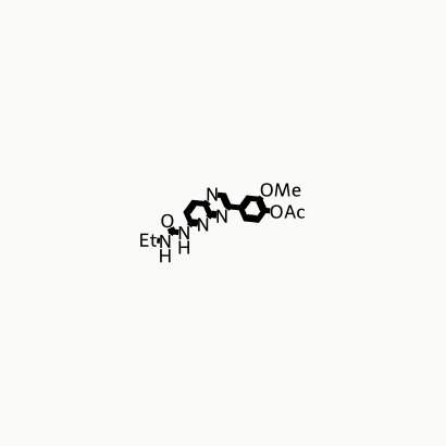 CCNC(=O)Nc1ccc2ncc(-c3ccc(OC(C)=O)c(OC)c3)nc2n1